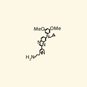 COc1cc(OC)cc(N(CC2CC2)c2ccc3ncc(-c4cnn(CCCN)c4)nc3c2)c1